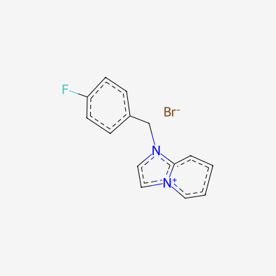 Fc1ccc(Cn2cc[n+]3ccccc23)cc1.[Br-]